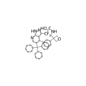 O=C(O)NCC1(c2cccc(-c3c(C(c4ccccc4)(c4ccccc4)c4ccccc4)cnc4[nH]nc(C(F)(F)F)c34)c2)COC1